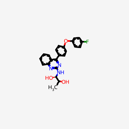 CC(O)[C@@H](O)Nc1nc(-c2ccc(Oc3ccc(F)cc3)cc2)c2ccccc2n1